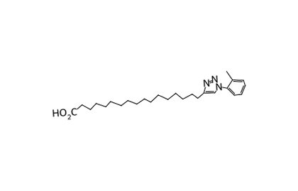 Cc1ccccc1-n1cc(CCCCCCCCCCCCCCCCC(=O)O)nn1